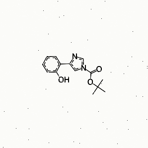 CC(C)(C)OC(=O)n1cnc(-c2ccccc2O)c1